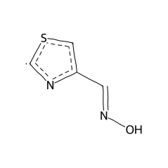 ON=Cc1cs[c]n1